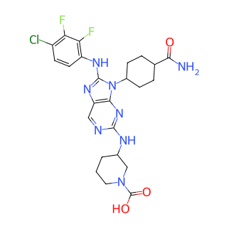 NC(=O)C1CCC(n2c(Nc3ccc(Cl)c(F)c3F)nc3cnc(NC4CCCN(C(=O)O)C4)nc32)CC1